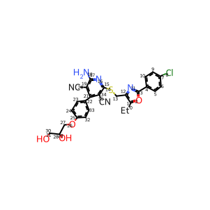 CCc1oc(-c2ccc(Cl)cc2)nc1CSc1nc(N)c(C#N)c(-c2ccc(OC[C@@H](O)CO)cc2)c1C#N